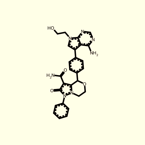 NC(=O)c1c2n(n(-c3ccccc3)c1=O)CCOC2c1ccc(-c2cn(CCO)c3ncnc(N)c23)cc1